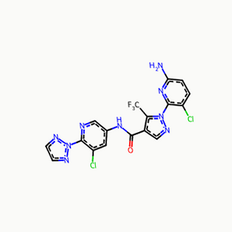 Nc1ccc(Cl)c(-n2ncc(C(=O)Nc3cnc(-n4nccn4)c(Cl)c3)c2C(F)(F)F)n1